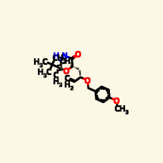 C=C[C@H](C[C@H](O[Si](C)(C)C(C)(C)C)C(N)=O)OCc1ccc(OC)cc1